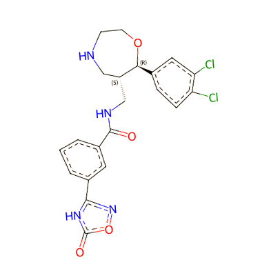 O=C(NC[C@@H]1CNCCO[C@H]1c1ccc(Cl)c(Cl)c1)c1cccc(-c2noc(=O)[nH]2)c1